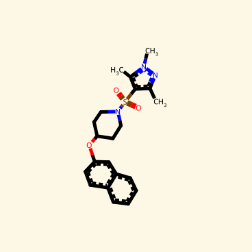 Cc1nn(C)c(C)c1S(=O)(=O)N1CCC(Oc2ccc3ccccc3c2)CC1